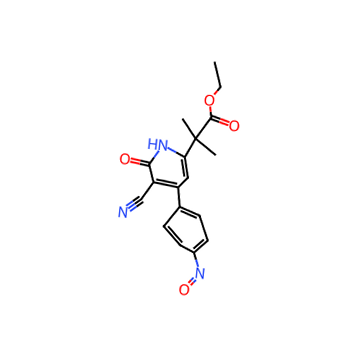 CCOC(=O)C(C)(C)c1cc(-c2ccc(N=O)cc2)c(C#N)c(=O)[nH]1